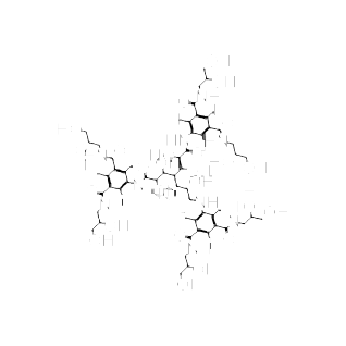 O=C(NCC(O)CO)c1c(I)c(NC(=O)C(O)C(O)C(C(O)C(O)C(=O)Nc2c(I)c(C(=O)NCC(O)CO)c(I)c(C(=O)NCC(O)CO)c2I)C(O)C(O)C(=O)Nc2c(I)c(C(=O)NCC(O)CO)c(I)c(C(=O)NCC(O)CO)c2I)c(I)c(C(=O)NCC(O)CO)c1I